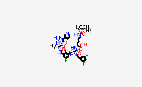 C[C@H](NC(=O)Cc1cc(F)cc(F)c1)C(=O)NC(=O)C(N)c1cccnc1.C[C@H](NC(=O)Cc1cc(F)cc(F)c1)C(=O)N[C@@H](CCCCNC(=O)OC(C)(C)C)C(=O)O